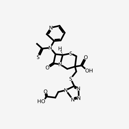 CC(=S)N(c1cccnc1)C1C(=O)N2CC(CSc3nnnn3CCC(=O)O)(C(=O)O)CS[C@H]12